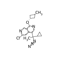 CC(N=[N+]=[N-])(c1cnc(O[C@H]2C[C@H](C)C2)c2cnc(Cl)cc12)C1CC1